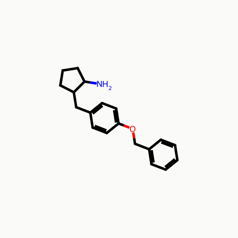 NC1CCCC1Cc1ccc(OCc2ccccc2)cc1